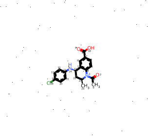 CC(=O)N1c2ccc(C(=O)O)cc2[C@H](Nc2ccc(Cl)cc2)C[C@@H]1C